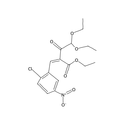 CCOC(=O)C(=Cc1cc([N+](=O)[O-])ccc1Cl)C(=O)C(OCC)OCC